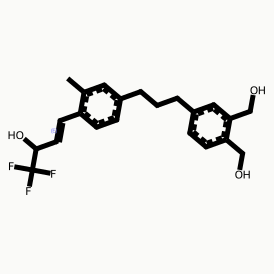 Cc1cc(CCCc2ccc(CO)c(CO)c2)ccc1/C=C/C(O)C(F)(F)F